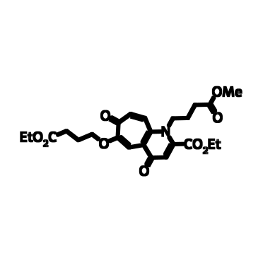 CCOC(=O)CCCOc1cc2c(=O)cc(C(=O)OCC)n(CCCC(=O)OC)c2ccc1=O